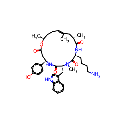 C/C1=C\CC[C@H](C)OC(=O)C[C@H](c2ccc(O)cc2)NC(=O)[C@@H](Cc2c[nH]c3ccccc23)N(C)C(=O)[C@H](CCCCN)NC(=O)[C@@H](C)C1